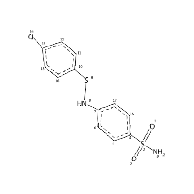 NS(=O)(=O)c1ccc(NSc2ccc(Cl)cc2)cc1